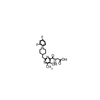 Cc1nc(CC2CCN(c3ccc(F)cc3F)CC2)nc(C(=O)NCC(=O)O)c1O